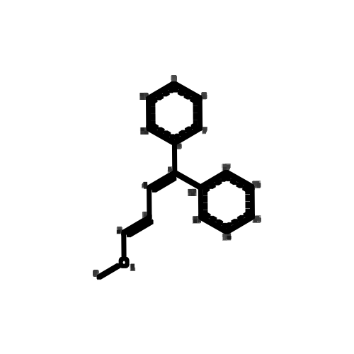 CO/C=C/C=C(c1ccccc1)c1ccccc1